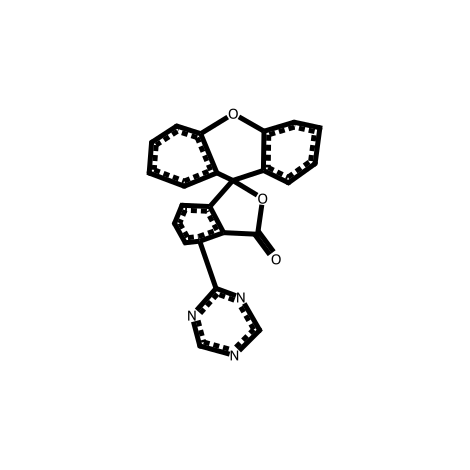 O=C1OC2(c3ccccc3Oc3ccccc32)c2cccc(-c3ncncn3)c21